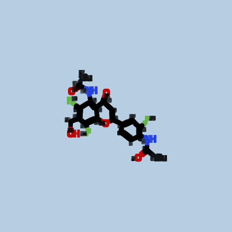 CC(C)(C)C(=O)Nc1ccc(-c2cc(=O)c3c(NC(=O)C(C)(C)C)c(F)c(CO)c(F)c3o2)cc1F